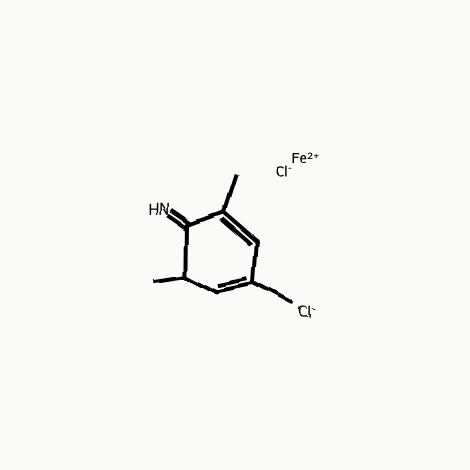 CC1=CC(C)C(=N)C(C)=C1.[Cl-].[Cl-].[Fe+2]